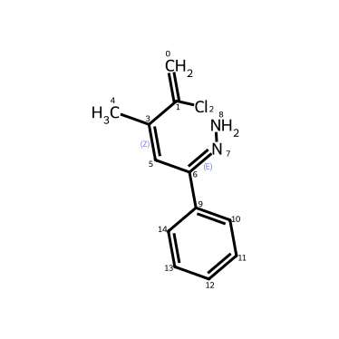 C=C(Cl)/C(C)=C\C(=N/N)c1ccccc1